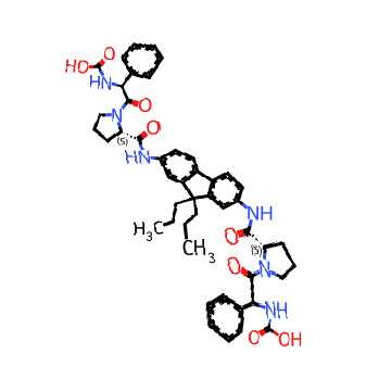 CCCC1(CCC)c2cc(NC(=O)[C@@H]3CCCN3C(=O)C(NC(=O)O)c3ccccc3)ccc2-c2ccc(NC(=O)[C@@H]3CCCN3C(=O)C(NC(=O)O)c3ccccc3)cc21